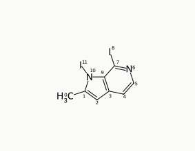 Cc1cc2ccnc(I)c2n1I